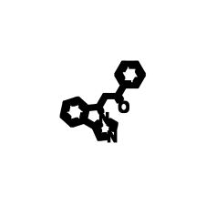 O=C(CC1c2ccccc2-c2cncn21)c1ccccc1